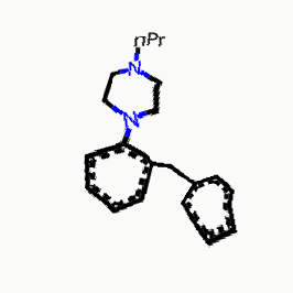 C[CH]CN1CCN(c2ccccc2Cc2ccccc2)CC1